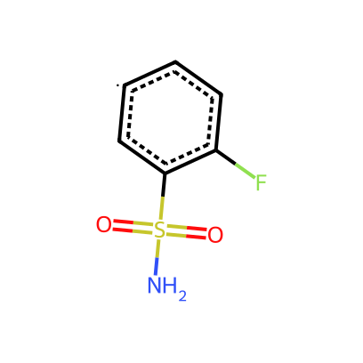 NS(=O)(=O)c1c[c]ccc1F